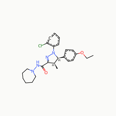 CCOc1ccc([C@H]2[C@@H](C)C(C(=O)NN3CCCCCC3)=NN2c2ccccc2Cl)cc1